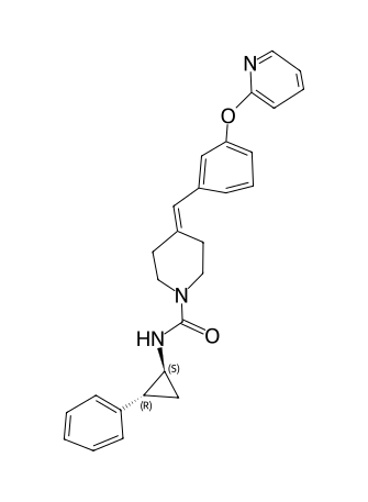 O=C(N[C@H]1C[C@@H]1c1ccccc1)N1CCC(=Cc2cccc(Oc3ccccn3)c2)CC1